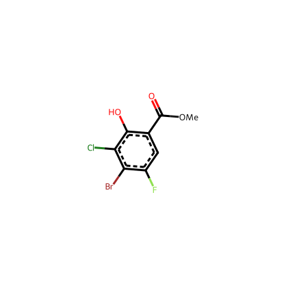 COC(=O)c1cc(F)c(Br)c(Cl)c1O